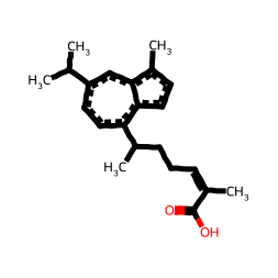 CC(=CCCC(C)c1ccc(C(C)C)cc2c(C)ccc1-2)C(=O)O